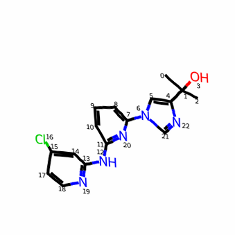 CC(C)(O)c1cn(-c2cccc(Nc3cc(Cl)ccn3)n2)cn1